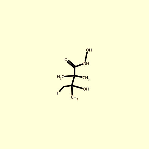 CC(O)(CF)C(C)(C)C(=O)NO